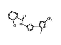 Cn1nc(C(F)(F)F)cc1-c1cnc(NC(=O)c2ccccc2Cl)s1